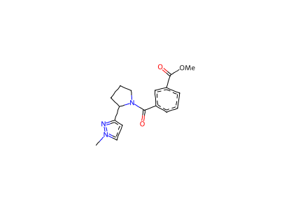 COC(=O)c1cccc(C(=O)N2CCCC2c2ccn(C)n2)c1